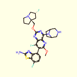 COc1nc2c(N3C4CCC3CNC4)nc(OC[C@@]34CCCN3C[C@H](F)C4)nc2c(F)c1-c1ccc(F)c2sc(N)nc12